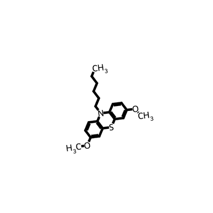 CCCCCCN1c2ccc(OC)cc2Sc2cc(OC)ccc21